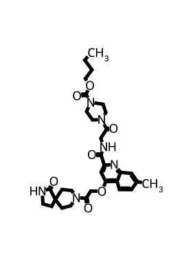 CCCCOC(=O)N1CCN(C(=O)CNC(=O)c2cc(OCC(=O)N3CCC4(CCNC4=O)CC3)c3ccc(C)cc3n2)CC1